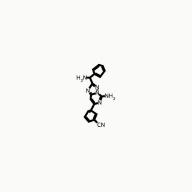 N#Cc1cccc(-c2cc3nc(C(N)c4ccccc4)nn3c(N)n2)c1